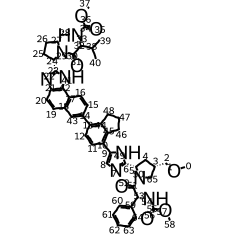 COC[C@H]1C[C@@H](c2ncc(-c3ccc(-c4ccc5c(ccc6nc([C@@H]7CC[C@H](C)N7C(=O)[C@@H](NC(=O)OC)C(C)C)[nH]c65)c4)c4c3CCC4)[nH]2)N(C(=O)[C@H](NC(=O)OC)c2ccccc2)C1